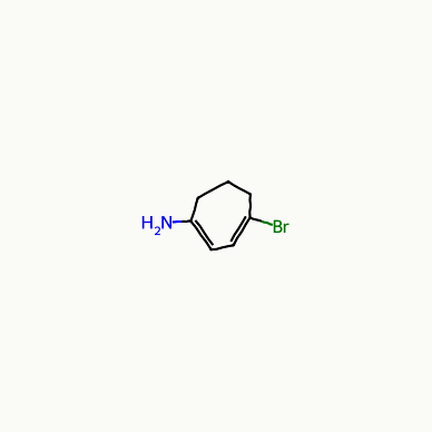 NC1=CC=C(Br)CCC1